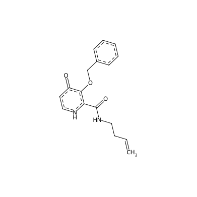 C=CCCNC(=O)c1[nH]ccc(=O)c1OCc1ccccc1